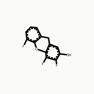 Fc1cccc2c1Oc1c(cc(S)c(F)c1F)C2